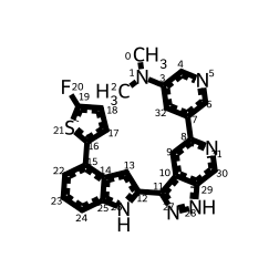 CN(C)c1cncc(-c2cc3c(-c4cc5c(-c6ccc(F)s6)cccc5[nH]4)n[nH]c3cn2)c1